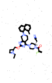 C=C(F)C(=O)N1CCN(c2nc(OCC3CCN3CC)nc3c2CCN(c2cccc4cccc(C)c24)C3)C[C@@H]1CC#N